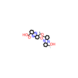 C[C@@H](O)c1cccc2nc3c(C(=O)O[C@H](C)c4cccc5nc6c(C(=O)O)cccc6nc45)cccc3nc12